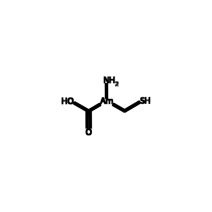 [NH2][Am]([CH2]S)[C](=O)O